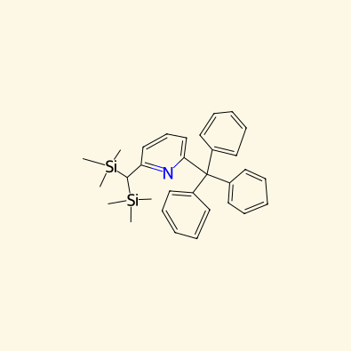 C[Si](C)(C)C(c1cccc(C(c2ccccc2)(c2ccccc2)c2ccccc2)n1)[Si](C)(C)C